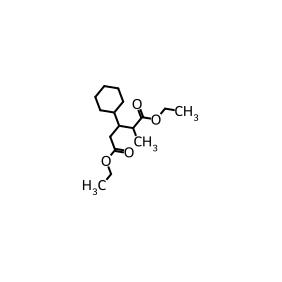 CCOC(=O)CC(C1CCCCC1)C(C)C(=O)OCC